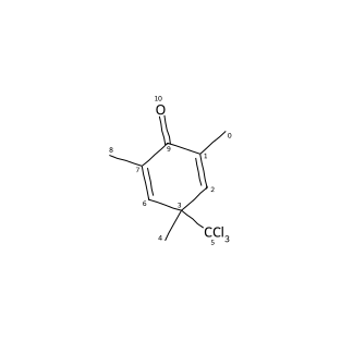 CC1=CC(C)(C(Cl)(Cl)Cl)C=C(C)C1=O